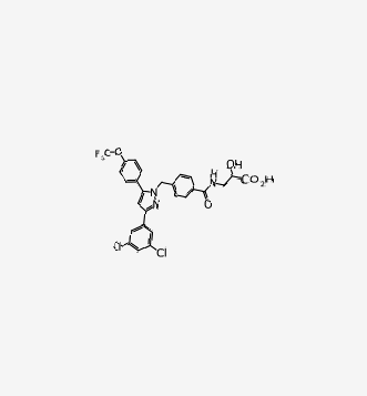 O=C(NCC(O)C(=O)O)c1ccc(Cn2nc(-c3cc(Cl)cc(Cl)c3)cc2-c2ccc(OC(F)(F)F)cc2)cc1